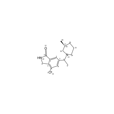 CC(c1cc2c(c(C(F)(F)F)c1)CNC2=O)N1CCC[C@H](C)C1